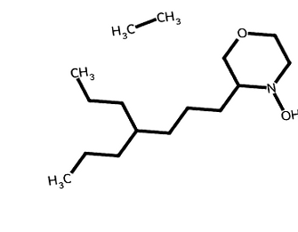 CC.CCCC(CCC)CCCC1COCCN1O